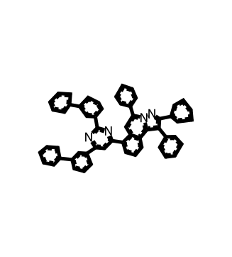 c1ccc(-c2cccc(-c3cc(-c4cccc5c4cc(-c4ccccc4)n4nc(-c6ccccc6)c(-c6ccccc6)c54)nc(-c4cccc(-c5ccccc5)c4)n3)c2)cc1